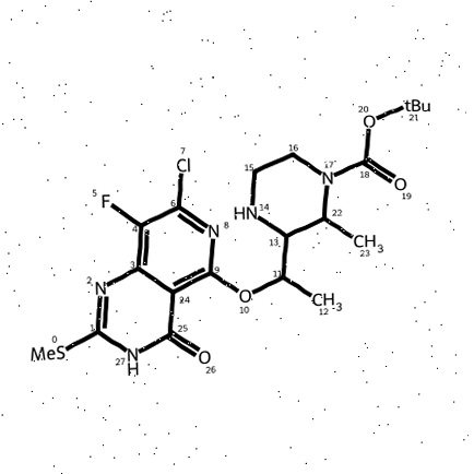 CSc1nc2c(F)c(Cl)nc(OC(C)C3NCCN(C(=O)OC(C)(C)C)C3C)c2c(=O)[nH]1